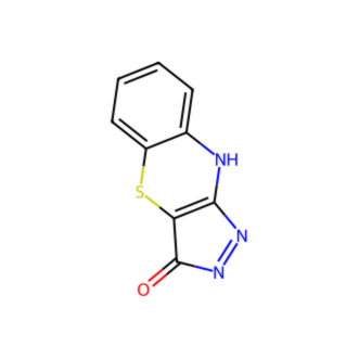 O=c1nnc2[nH]c3ccccc3sc1=2